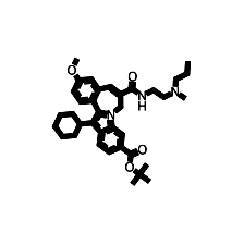 CCCN(C)CCNC(=O)C1=Cc2cc(OC)ccc2-c2c(C3CCCCC3)c3ccc(C(=O)OC(C)(C)C)cc3n2C1